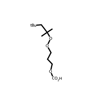 CC(C)(C)CC(C)(C)OOCCCOC(=O)O